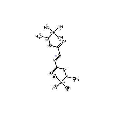 CC(OC(=O)/C=C/C(=O)OC(C)[Si](O)(O)O)[Si](O)(O)O